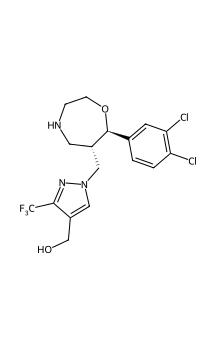 OCc1cn(C[C@@H]2CNCCO[C@H]2c2ccc(Cl)c(Cl)c2)nc1C(F)(F)F